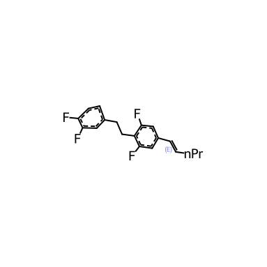 CCC/C=C/c1cc(F)c(CCc2ccc(F)c(F)c2)c(F)c1